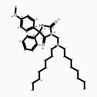 CCCCCCCCN(CCCCCCCC)CN1C(=O)NC(c2ccccc2)(c2ccc(OC)cc2)C1=O